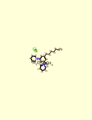 COC1(C)C([n+]2ccccc2)=CC(CCCCCC(C)C)=CC1(C)[n+]1ccccc1.[Cl-].[Cl-]